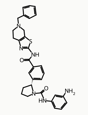 Nc1cccc(NC(=O)N2CCC[C@@H]2c2cccc(C(=O)Nc3nc4c(s3)CN(Cc3ccccc3)CC4)c2)c1